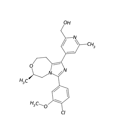 COc1cc(-c2nc(-c3cc(C)nc(CO)c3)c3n2C[C@@H](C)OCC3)ccc1Cl